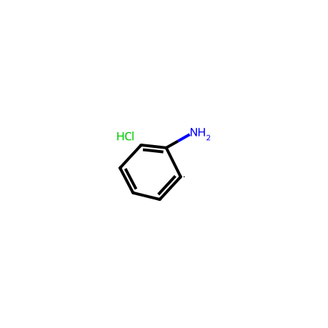 Cl.Nc1[c]cccc1